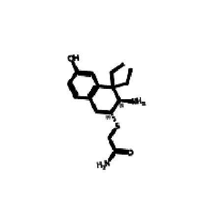 CCC1(CC)c2cc(O)ccc2C[C@@H](SCC(N)=O)[C@@H]1N